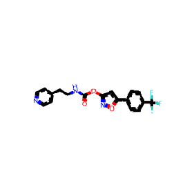 O=C(NCCc1ccncc1)Oc1cc(-c2ccc(C(F)(F)F)cc2)on1